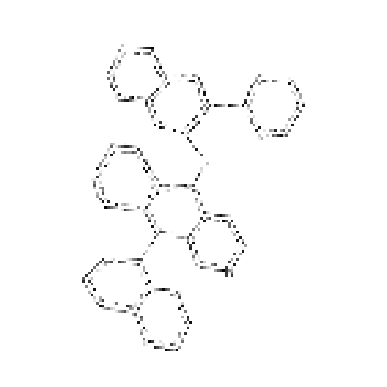 c1ccc(-c2cc3ccccc3cc2Sc2c3ccccc3c(-c3cccc4ccccc34)c3cnccc23)cc1